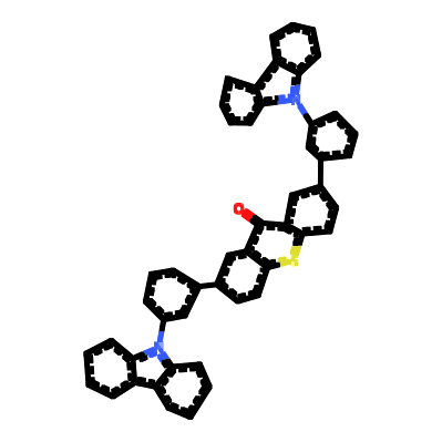 O=c1c2cc(-c3cccc(-n4c5ccccc5c5ccccc54)c3)ccc2sc2ccc(-c3cccc(-n4c5ccccc5c5ccccc54)c3)cc12